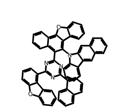 c1ccc2cc3c(cc2c1)c1ccccc1n3-c1c(-c2nc(-c3cccc4ccccc34)nc(-c3cccc4oc5ccccc5c34)n2)c2ccccc2c2oc3ccccc3c12